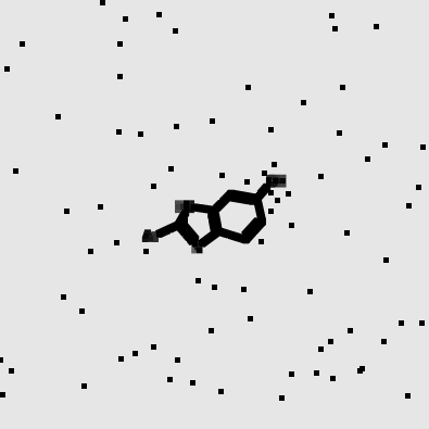 CC(=O)c1nc2ccc(O)cc2[nH]1